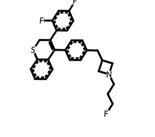 FCCCN1CC(Cc2ccc(C3=C(c4ccc(F)cc4F)CSc4ccccc43)cc2)C1